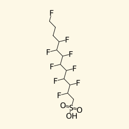 O=S(=O)(O)CC(F)C(F)C(F)C(F)C(F)C(F)C(F)C(F)CCCF